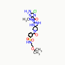 CNc1nc(N)c(Cl)nc1C(=O)/N=C1\NCC2(CCN(C(=O)c3cccc(S(=O)(=O)NCCCOC(C)C)c3)CC2)N1